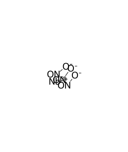 O=N[O-].O=N[O-].O=N[O-].[Nb+3]